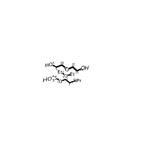 CC(C)CCOS(=O)(=O)O.CCOCC.OCCOCCO